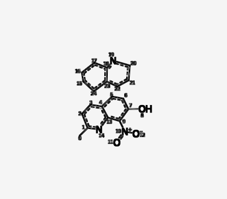 Cc1ccc2ccc(O)c([N+](=O)[O-])c2n1.c1ccc2ncccc2c1